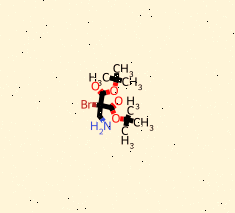 CC(C)(C)OC(=O)C(Br)(CN)C(=O)OC(C)(C)C